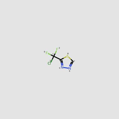 FC(F)(Cl)c1nn[c]s1